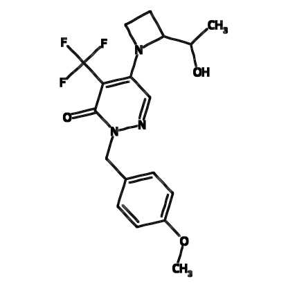 COc1ccc(Cn2ncc(N3CCC3C(C)O)c(C(F)(F)F)c2=O)cc1